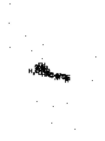 Cn1c(=O)c2c(ncn2CC(=O)Nc2ccc(-c3cn(Cc4ccc(C(F)(F)F)cc4)nn3)cc2)n(C)c1=O